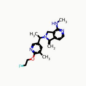 C=C1c2ccnc(NC)c2CN1C(C)c1cnc(OCCF)c(C)c1